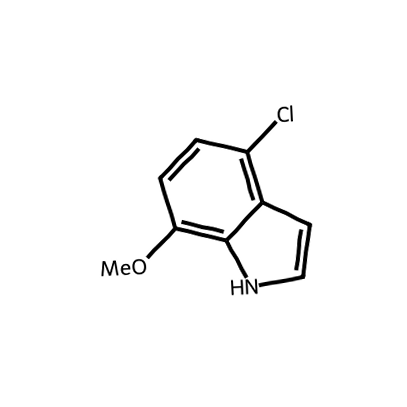 COc1ccc(Cl)c2cc[nH]c12